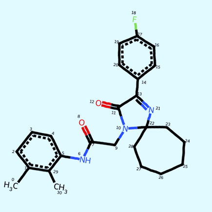 Cc1cccc(NC(=O)CN2C(=O)C(c3ccc(F)cc3)=NC23CCCCCC3)c1C